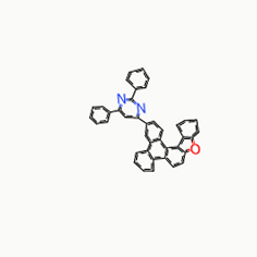 c1ccc(-c2cc(-c3ccc4c(c3)c3ccccc3c3ccc5oc6ccccc6c5c34)nc(-c3ccccc3)n2)cc1